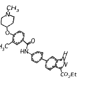 CCOC(=O)c1n[nH]c2cc(-c3ccc(NC(=O)c4ccc(OC5CCN(C)CC5)c(C)c4)cc3)ccc12